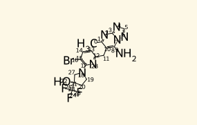 Cc1nc2ncnn2c(N)c1Cc1ccc(Br)c(N2CCC(O)(C(F)(F)F)C2)n1